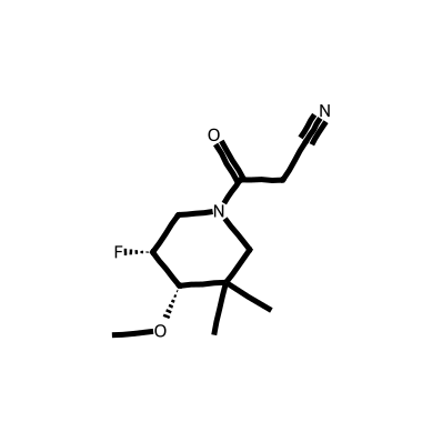 CO[C@@H]1[C@H](F)CN(C(=O)CC#N)CC1(C)C